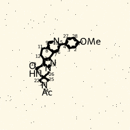 COc1ccc(-c2cc3c(cn2)CCc2c-3nn3c2C(=O)NC2(CN(C(C)=O)C2)C3)cc1